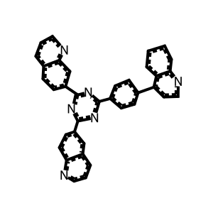 c1cnc2ccc(-c3nc(-c4ccc(-c5ccnc6ccccc56)cc4)nc(-c4ccc5cccnc5c4)n3)cc2c1